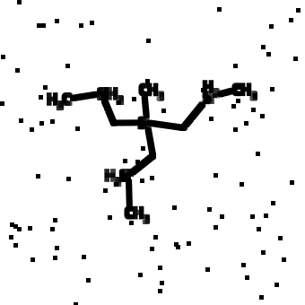 C[SiH2]C[Si](C)(C[SiH2]C)C[SiH2]C